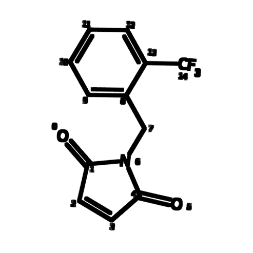 O=C1C=CC(=O)N1Cc1ccccc1C(F)(F)F